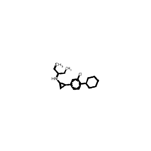 CCC(CC)NC1CC1c1ccc(C2CCCCC2)c(Cl)c1